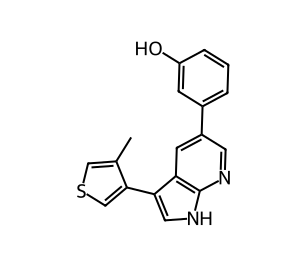 Cc1cscc1-c1c[nH]c2ncc(-c3cccc(O)c3)cc12